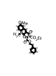 CCOC(=O)N(OC(=O)OCCc1ccccc1)C(=O)c1cc2cc(OC)ccc2n(C)c1=O